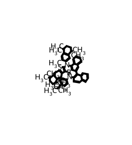 Cc1cc2c(cc1N1c3sc4cc5c(cc4c3B3c4c(cc6ccccc6c41)-c1c(ccc4ccccc14)N3c1ccc(C(C)(C)C)cc1)C(C)(C)CCC5(C)C)C(C)(C)CCC2(C)C